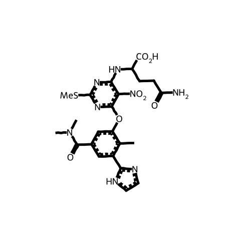 CSc1nc(NC(CCC(N)=O)C(=O)O)c([N+](=O)[O-])c(Oc2cc(C(=O)N(C)C)cc(-c3ncc[nH]3)c2C)n1